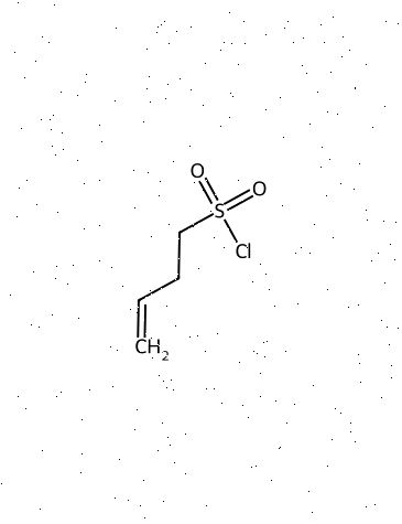 C=CCCS(=O)(=O)Cl